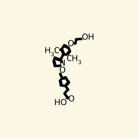 Cc1cc(OCCCO)cc(C)c1-c1cccc(OCc2ccc(CCC(=O)O)cc2)n1